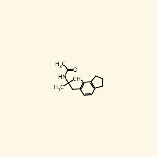 CC(=O)NC(C)(C)Cc1ccc2c(c1)CCC2